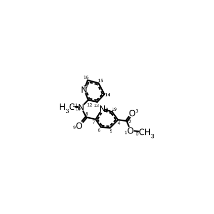 COC(=O)c1ccc(C(=O)N(C)c2ccccn2)nc1